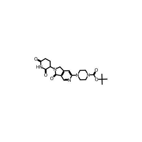 CC(C)(C)OC(=O)N1CCN(c2cc3c(cn2)C(=O)N(C2CCC(=O)NC2=O)C3)CC1